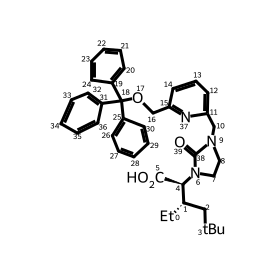 CC[C@@H](CC(C)(C)C)[C@@H](C(=O)O)N1CCN(Cc2cccc(COC(c3ccccc3)(c3ccccc3)c3ccccc3)n2)C1=O